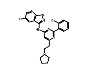 Fc1cnc2[nH]nc(Nc3cc(CCN4CCCC4)nc(-c4ccccc4Cl)n3)c2c1